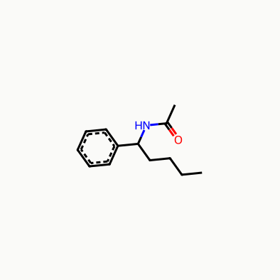 CCCCC(NC(C)=O)c1ccccc1